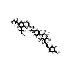 CCC(NC(=O)c1ccc(N2C(=O)C(=CC=Cc3ccc(O)cc3)C(=O)N(C)C2=O)cc1)Oc1ccc(C(C)(C)CC)cc1C(C)(C)CC